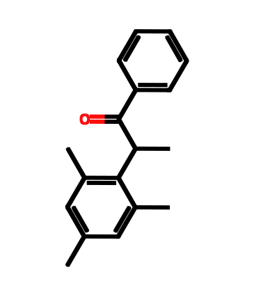 Cc1cc(C)c(C(C)C(=O)c2ccccc2)c(C)c1